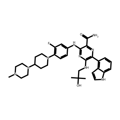 CN1CCN(C2CCN(c3ccc(Nc4nc(NCC(C)(C)O)c(-c5cccc6[nH]ccc56)nc4C(N)=O)cc3F)CC2)CC1